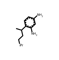 CC(C)CCC(C)c1ccc(N)cc1N